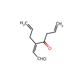 C=CCC(=O)C(=CC=O)CC=C